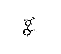 CC1NCN(c2ccncc2N)N1